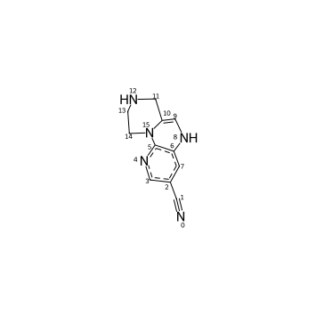 N#Cc1cnc2c(c1)NC=C1CNCCN12